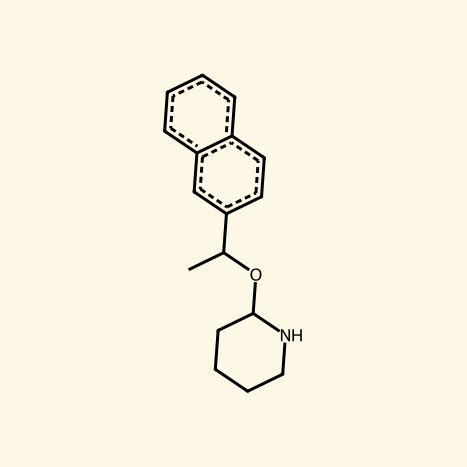 CC(OC1CCCCN1)c1ccc2ccccc2c1